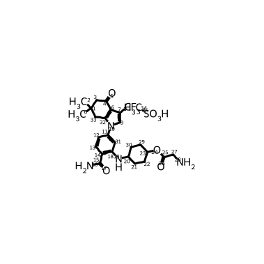 CC1(C)CC(=O)c2c(C(F)(F)F)cn(-c3ccc(C(N)=O)c(NC4CCC(OC(=O)CN)CC4)c3)c2C1.CS(=O)(=O)O